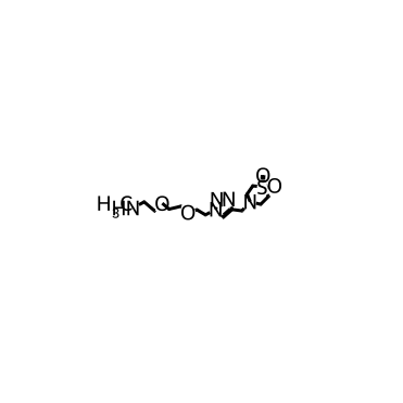 CNCCOCCOCCn1cc(CN2CCS(=O)(=O)CC2)nn1